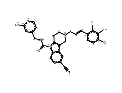 N#Cc1ccc2c(c1)c1c(n2C(=O)NCc2ccnc(Cl)c2)CCN(CC=Cc2ccc(Cl)c(F)c2F)C1